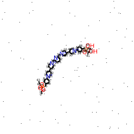 CCOP(=O)(Cc1ccc(-[n+]2ccc(-c3cc[n+](Cc4cccc(C[n+]5ccc(-c6cc[n+](-c7ccc(CP(=O)(C(C)O)C(C)O)cc7)cc6)cc5)n4)cc3)cc2)cc1)OCC